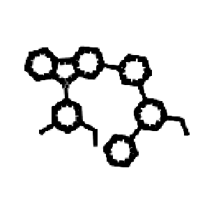 CCc1cc(-c2ccccc2)cc(-c2cccc(-c3ccc4c5ccccc5n(-c5cc(C)cc(CC)c5)c4c3)c2)c1